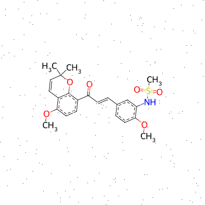 COc1ccc(C=CC(=O)c2ccc(OC)c3c2OC(C)(C)C=C3)cc1NS(C)(=O)=O